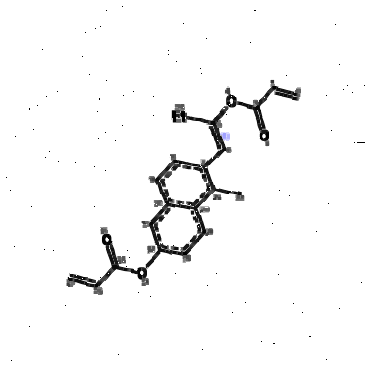 C=CC(=O)O/C(=C/c1ccc2cc(OC(=O)C=C)ccc2c1C)CC